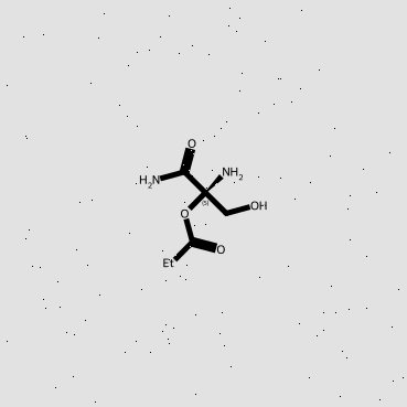 CCC(=O)O[C@@](N)(CO)C(N)=O